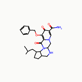 CC(C)CC1CCC2CNC3Cn4cc(C(N)=O)c(=O)c(OCc5ccccc5)c4C(=O)N3C21